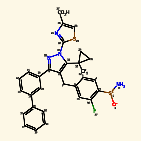 N[S+]([O-])c1ccc(Cc2c(-c3cccc(-c4ccccc4)c3)nn(-c3nc(C(=O)O)cs3)c2C2(C(F)(F)F)CC2)cc1F